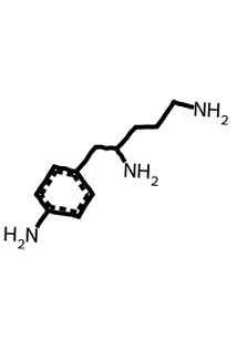 NCCCC(N)Cc1ccc(N)cc1